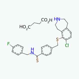 Fc1ccc(CNC(=S)c2ccc(CSc3c(Cl)ccc4c3CCNCC4)cc2)cc1.O=C(O)CCC(=O)O